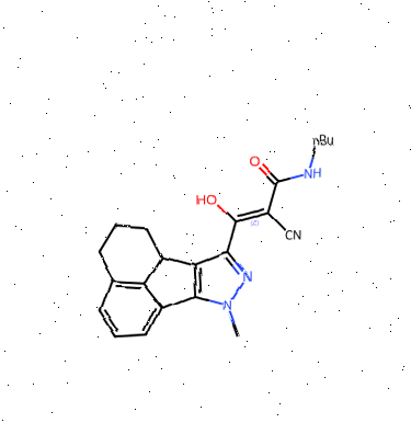 CCCCNC(=O)/C(C#N)=C(\O)c1nn(C)c2c1C1CCCc3cccc-2c31